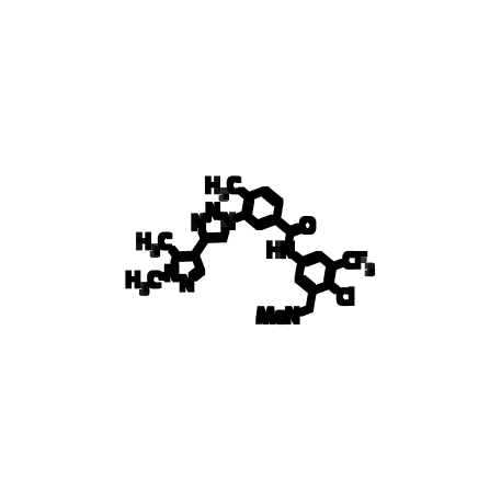 CNCc1cc(NC(=O)c2ccc(C)c(-n3cc(-c4cnn(C)c4C)nn3)c2)cc(C(F)(F)F)c1Cl